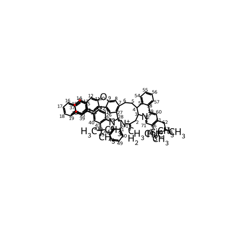 C=C1CC2C(CCc3cc4oc5cc6cc7ccccc7cc6cc5c4cc3-c3n(-c4ccc(-c5ccccc5)cc4C(C)(C)C)c4ccccc4[n+]31)c1ccccc1-c1cc(CC(C)C)c([Si](C)(C)C)c[n+]12